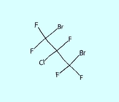 FC(F)(Br)C(F)(Cl)C(F)(F)Br